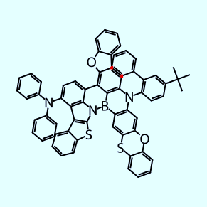 CC(C)(C)c1ccc(N2c3cc4c(cc3B3c5c2cc2c(oc6ccccc62)c5-c2ccc(N(c5ccccc5)c5ccccc5)c5c6c7ccccc7sc6n3c25)Sc2ccccc2O4)c(-c2ccccc2)c1